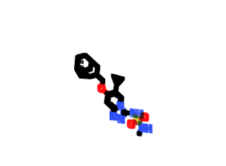 CNS(=O)(=O)Nc1nnc2cc(OCC3CC4CC5CCC3C(C5)C4)c(C3CC3)cn12